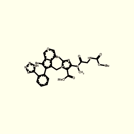 CCCCc1nc(N(C)C(=O)CNC(=O)OC(C)(C)C)c(C(=O)OC)n1Cc1c2ccocc-2c(Br)c1-c1ccccc1-c1nnn[nH]1